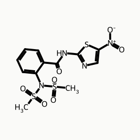 CS(=O)(=O)N(c1ccccc1C(=O)Nc1ncc([N+](=O)[O-])s1)S(C)(=O)=O